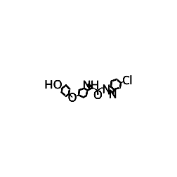 O=C(Cn1cnc2cc(Cl)ccc21)c1c[nH]c2cc(Oc3ccc(O)cc3)ccc12